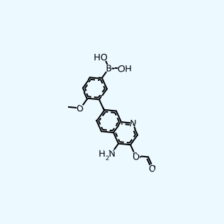 COc1ccc(B(O)O)cc1-c1ccc2c(N)c(OC=O)cnc2c1